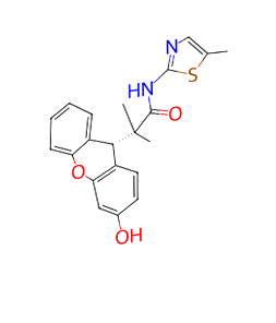 Cc1cnc(NC(=O)C(C)(C)[C@H]2c3ccccc3Oc3cc(O)ccc32)s1